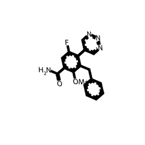 COc1c(C(N)=O)cc(F)c(-c2cnnnc2)c1Cc1ccccc1